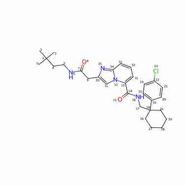 CC(C)(C)CCNC(=O)Cc1cn2c(C(=O)NCC3(c4ccc(Cl)cc4)CCCCC3)cccc2n1